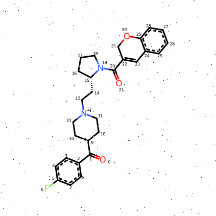 O=C(c1ccc(F)cc1)C1CCN(CC[C@@H]2CCCN2C(=O)C2=Cc3ccccc3OC2)CC1